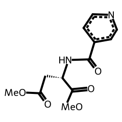 COC(=O)C[C@H](NC(=O)c1ccncc1)C(=O)OC